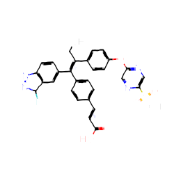 CC/C(=C(/c1ccc(/C=C/C(=O)O)cc1)c1ccc2c(c1)C(F)NN2)c1ccc(Oc2cnc(S(C)(=O)=O)cn2)cc1